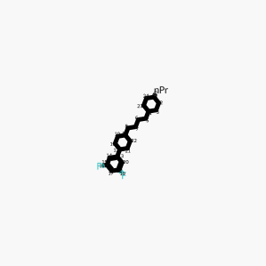 CCCC1CCC(CCCCC2CCC(c3cc(F)cc(F)c3)CC2)CC1